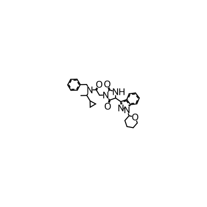 CC(C1CC1)N(Cc1ccccc1)C(=O)CN1C(=O)NC(c2nn(C3CCCCO3)c3ccccc23)C1=O